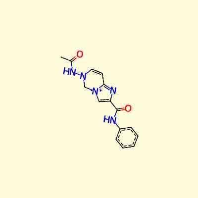 CC(=O)NN1C=CC2=NC(C(=O)Nc3ccccc3)=C[N+]2C1